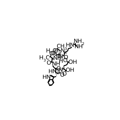 CC(C)C[C@H](NC(=O)[C@@H](N)CCCNC(=N)N)C(=O)N[C@H](C(=O)NCC(=O)N[C@@H](Cc1c[nH]c2ccccc12)C(=O)N[C@@H](CCC(=O)O)C(=O)O)C(C)C